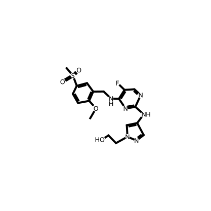 COc1ccc(S(C)(=O)=O)cc1CNc1nc(Nc2cnn(CCO)c2)ncc1F